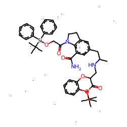 CCOc1ccccc1OC(CNC(C)Cc1cc2c(c(C(N)=O)c1)N(C(=O)CO[Si](c1ccccc1)(c1ccccc1)C(C)(C)C)CC2)C(=O)OC(C)(C)C